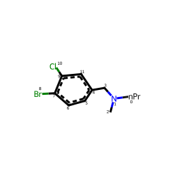 CCCN(C)Cc1ccc(Br)c(Cl)c1